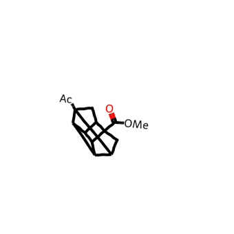 COC(=O)C12CC3C4C5C(C1CC35C(C)=O)C42